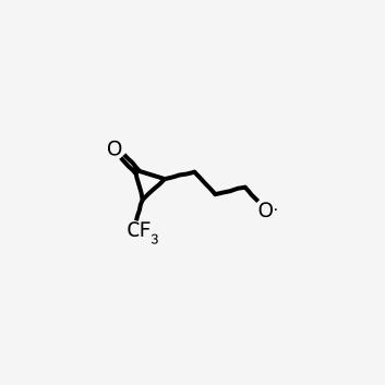 [O]CCCC1C(=O)C1C(F)(F)F